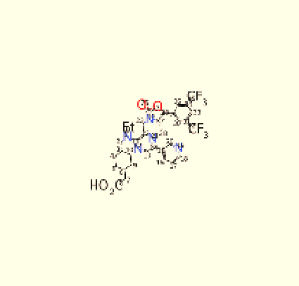 CCN(C[C@H]1CC[C@H](CC(=O)O)CC1)c1ncc(-c2cccnc2)nc1CN1C(=O)OC(c2cc(C(F)(F)F)cc(C(F)(F)F)c2)[C@@H]1C